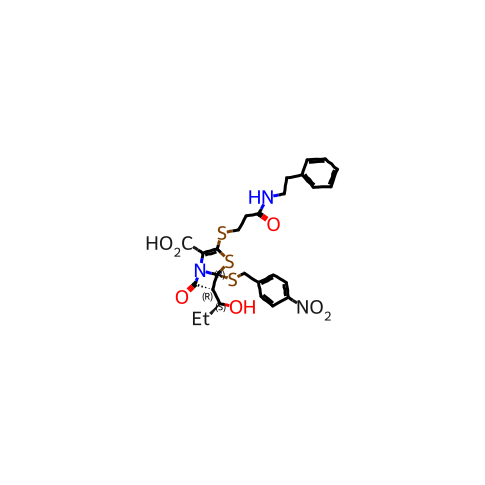 CC[C@H](O)[C@@H]1C(=O)N2C(C(=O)O)=C(SCCC(=O)NCCc3ccccc3)S[C@]12SCc1ccc([N+](=O)[O-])cc1